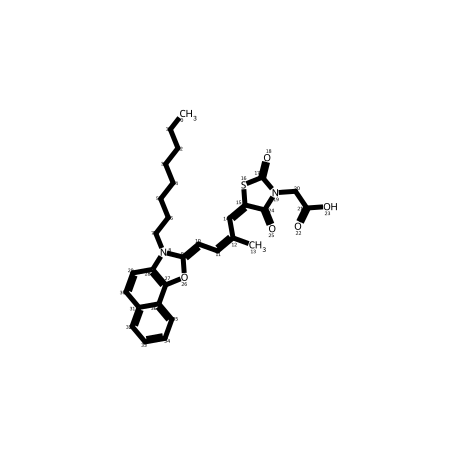 CCCCCCCCN1C(=CC=C(C)C=C2SC(=O)N(CC(=O)O)C2=O)Oc2c1ccc1ccccc21